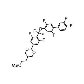 COCCC1COC(c2cc(F)c(C(F)(F)Oc3cc(F)c(-c4ccc(F)c(F)c4)cc3F)c(F)c2)OC1